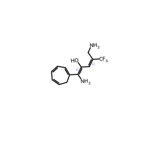 NC/C(=C\C(O)=C(/N)C1=CC=CC=CC1)C(F)(F)F